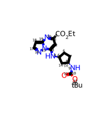 CCOC(=O)c1cc(N[C@H]2CC[C@H](NC(=O)OC(C)(C)C)C2)n2nccc2n1